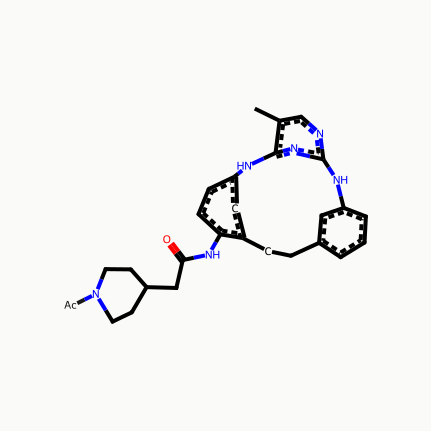 CC(=O)N1CCC(CC(=O)Nc2ccc3cc2CCc2cccc(c2)Nc2ncc(C)c(n2)N3)CC1